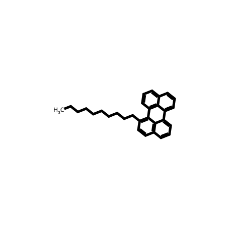 CCCCCCCCCCc1ccc2cccc3c4cccc5cccc(c1c23)c54